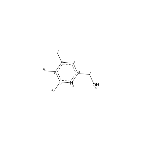 Cc1cc(CO)nc(C)c1C